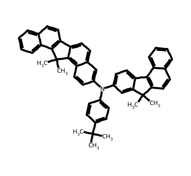 CC(C)(C)c1ccc(N(c2ccc3c(c2)C(C)(C)c2ccc4ccccc4c2-3)c2ccc3c4c(ccc3c2)-c2ccc3ccccc3c2C4(C)C)cc1